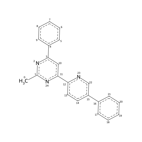 Cc1nc(-c2ccccc2)cc(-c2ccc(-c3ccccc3)cn2)n1